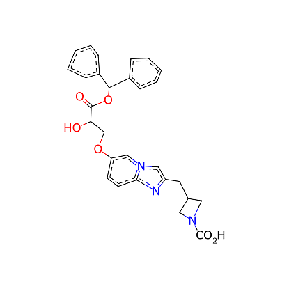 O=C(OC(c1ccccc1)c1ccccc1)C(O)COc1ccc2nc(CC3CN(C(=O)O)C3)cn2c1